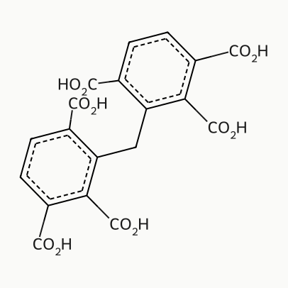 O=C(O)c1ccc(C(=O)O)c(C(=O)O)c1Cc1c(C(=O)O)ccc(C(=O)O)c1C(=O)O